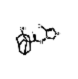 O=C(/N=S1/CNC=C1Cl)C12CC3CC(CC(O)(C3)C1)C2